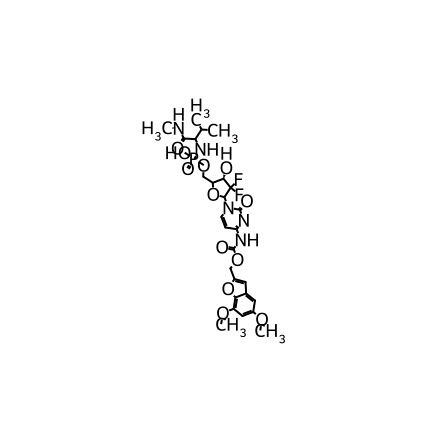 CNC(=O)C(NP(=O)(O)OCC1OC(n2ccc(NC(=O)OCc3cc4cc(OC)cc(OC)c4o3)nc2=O)C(F)(F)[C@@H]1O)C(C)C